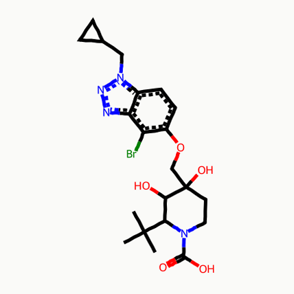 CC(C)(C)C1C(O)C(O)(COc2ccc3c(nnn3CC3CC3)c2Br)CCN1C(=O)O